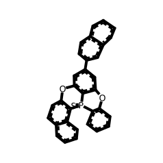 S=P12c3ccccc3Oc3cc(-c4ccc5ccccc5c4)cc(c31)Oc1ccc3ccccc3c12